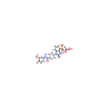 COc1cc(NC(=O)C2CCC(n3c(=O)[nH]c4c(S(=O)(=O)CC(=O)O)cccc43)CC2)ccc1C